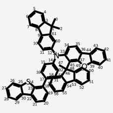 CC1(C)c2ccccc2-c2ccc(N(c3ccc(-c4cccc5c4sc4ccccc45)cc3)c3ccc4c(oc5ccccc54)c3C3(C)c4ccccc4-c4ccccc43)cc21